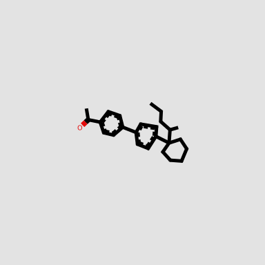 CCCC(C)C1(c2ccc(-c3ccc(C(C)=O)cc3)cc2)CCCCC1